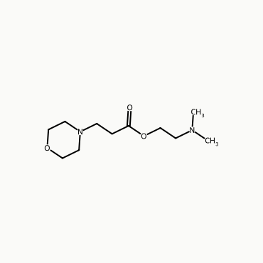 CN(C)CCOC(=O)CCN1CCOCC1